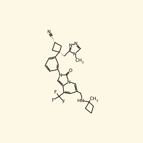 Cn1cnnc1C[C@]1(c2cccc(-n3cc4c(C(F)(F)F)cc(CNC5(C)CCC5)cn4c3=O)c2)C[C@H](C#N)C1